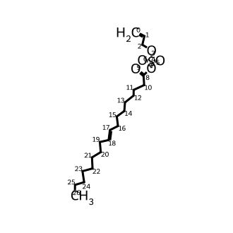 C=CCOS(=O)(=O)OC(=O)CCCCCCCC=CCCCCCCCC